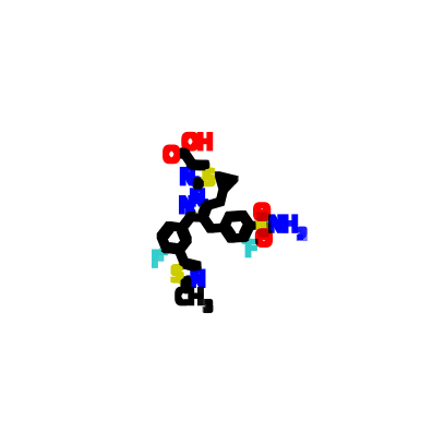 Cc1ncc(-c2cc(-c3nn(-c4nc(C(=O)O)cs4)c(CC4CC4)c3Cc3ccc(S(N)(=O)=O)c(F)c3)ccc2F)s1